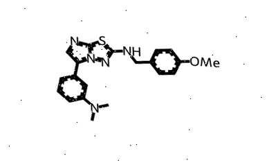 COc1ccc(CNc2nn3c(-c4cccc(N(C)C)c4)cnc3s2)cc1